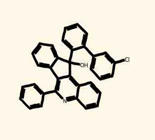 OC1(c2ccccc2-c2cccc(Cl)c2)c2ccccc2-c2c(-c3ccccc3)nc3ccccc3c21